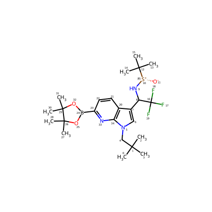 CC(C)(C)Cn1cc(C(N[S@@+]([O-])C(C)(C)C)C(F)(F)F)c2ccc(B3OC(C)(C)C(C)(C)O3)nc21